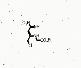 CCOC(=O)CN/C(=C\C(=N)[N+](=O)[O-])CCl